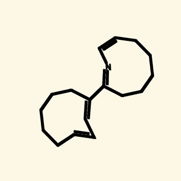 C1=C/N=C(\C2=C/C=C/CCCCC2)CCCCC\1